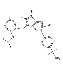 Cc1ccc(OC(F)F)c(Cn2c3cc(-c4ccc(C(C)(C)N)nc4)c(F)cc3c(=O)n2C)c1